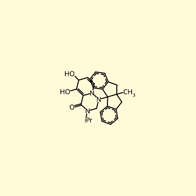 CC(C)N1CN(C23c4ccccc4CC2(C)Cc2ccccc23)N2C=CC(O)C(O)=C2C1=O